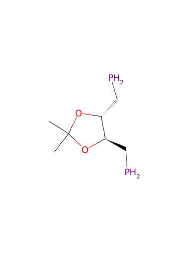 CC1(C)O[C@H](CP)[C@@H](CP)O1